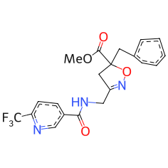 COC(=O)C1(Cc2ccccc2)CC(CNC(=O)c2ccc(C(F)(F)F)nc2)=NO1